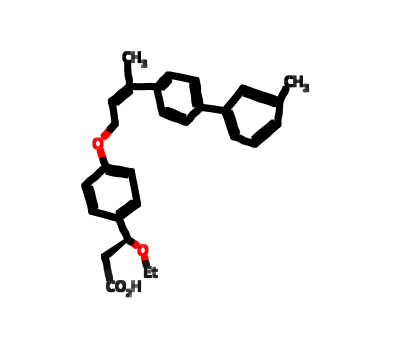 CCO[C@@H](CC(=O)O)c1ccc(OC/C=C(/C)c2ccc(-c3cccc(C)c3)cc2)cc1